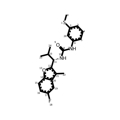 CSc1cccc(NC(=O)N[C@H](c2oc3ccc(F)cc3c2C)C(C)C)c1